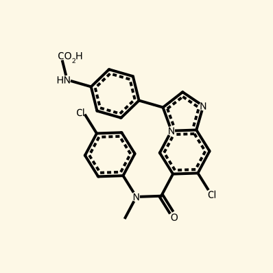 CN(C(=O)c1cn2c(-c3ccc(NC(=O)O)cc3)cnc2cc1Cl)c1ccc(Cl)cc1